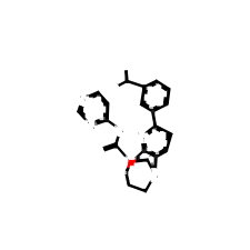 C=C(Nc1ccncn1)N1c2nc(-c3cccc(C(F)F)c3)ccc2N2CCC1CC2